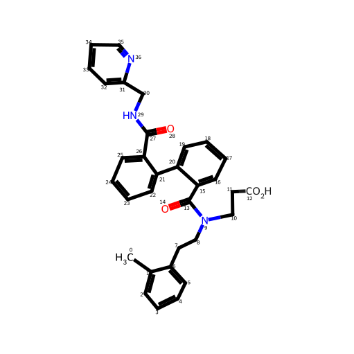 Cc1ccccc1CCN(CCC(=O)O)C(=O)c1ccccc1-c1ccccc1C(=O)NCc1ccccn1